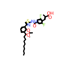 CCCCCCCCCC(OC)c1cccc(-c2csc(NC(=O)c3cc(F)c(C=C(C)C(=O)O)c(F)c3)n2)c1OCC